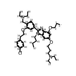 [CH2]CCOc1cc(OCCCN(CC)CC)cc2c1nc(-c1ccc(CN(CC)CC)c(OCCc3ccc(Cl)cc3)c1)n2CCCC